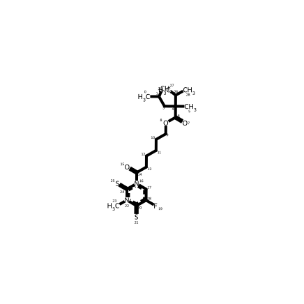 CC(C)CC(C)(C(=O)OCCCCCC(=O)n1cc(F)c(=S)n(C)c1=S)C(C)C